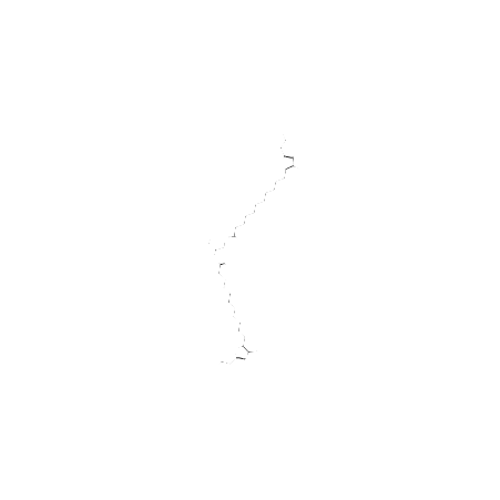 CCCc1cc(C)c(CCCCCCCCCCC(=O)O[C@@H](CO)COC(=O)CCCCCCCCCCc2oc(CCC)c(C)c2C)o1